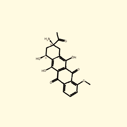 COc1cccc2c1C(=O)c1c(O)c3c(c(O)c1C2=O)[C@@H](O)C[C@](N)(C(C)=O)C3